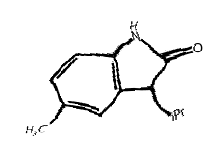 Cc1ccc2c(c1)C(C(C)C)C(=O)N2